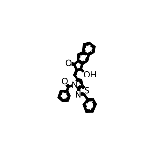 O=C1/C(=C/c2cc3sc(-c4ccccc4)nc3n2C(=O)c2ccccc2)C(O)c2cc3ccccc3cc21